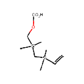 C=C[Si](C)(C)C[Si](C)(C)COC(=O)O